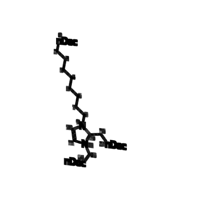 CCCCCCCCCCCCCCCCCCN1C=CN(CCCCCCCCCCC)C1CCCCCCCCCCC